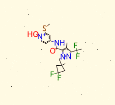 CSc1cc(NC(=O)c2c(C)c(C(C)(F)F)nn2CC2(C)CC(F)(F)C2)cc[n+]1O